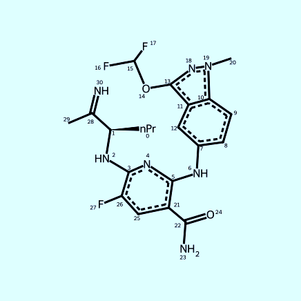 CCC[C@@H](Nc1nc(Nc2ccc3c(c2)c(OC(F)F)nn3C)c(C(N)=O)cc1F)C(C)=N